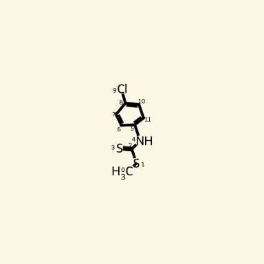 CSC(=S)Nc1ccc(Cl)cc1